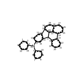 c1ccc(N(c2ccccc2)c2ccc3c(c2)C2c4ccccc4-c4cccc5ccc-3c2c45)cc1